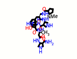 CNC1CCCC1C(=O)NC[C@H](Cc1ccc(O)cc1)C(=O)NC1CNCC1C(=O)NC1CNCC1C(=O)N[C@@H](C)CC(=O)NC1CNCC1C(N)=O